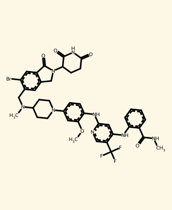 CNC(=O)c1ccccc1Nc1cc(Nc2ccc(N3CCC(N(C)Cc4cc5c(cc4Br)C(=O)N(C4CCC(=O)NC4=O)C5)CC3)cc2OC)ncc1C(F)(F)F